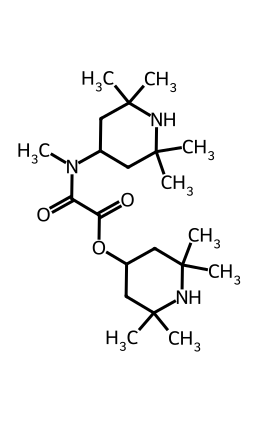 CN(C(=O)C(=O)OC1CC(C)(C)NC(C)(C)C1)C1CC(C)(C)NC(C)(C)C1